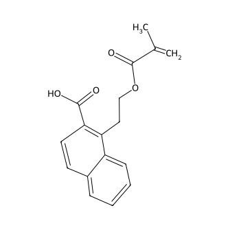 C=C(C)C(=O)OCCc1c(C(=O)O)ccc2ccccc12